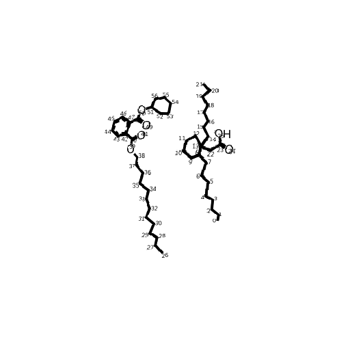 CCCCCCCCC1CCCCC1(CCCCCCCC)CC(=O)O.CCCCCCCCCCCCCOC(=O)c1ccccc1C(=O)OC1CCCCC1